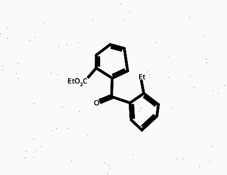 CCOC(=O)c1ccccc1C(=O)c1ccccc1CC